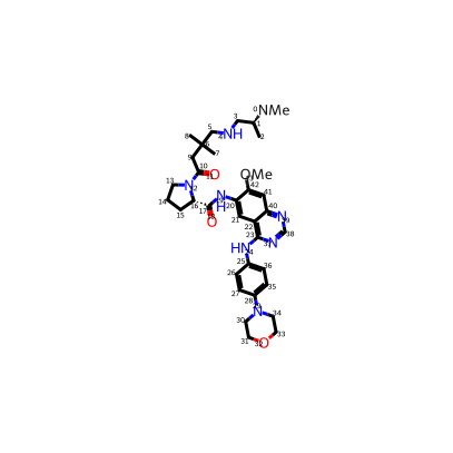 CN[C@@H](C)CNCC(C)(C)CC(=O)N1CCC[C@H]1C(=O)Nc1cc2c(Nc3ccc(N4CCOCC4)cc3)ncnc2cc1OC